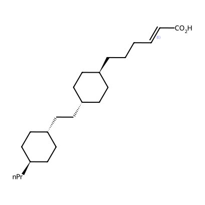 CCC[C@H]1CC[C@H](CC[C@H]2CC[C@H](CCC/C=C/C(=O)O)CC2)CC1